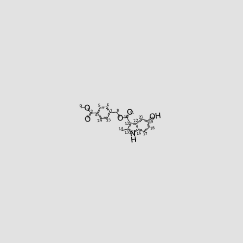 COC(=O)c1ccc(COC(=O)c2c(C)[nH]c3ccc(O)cc23)cc1